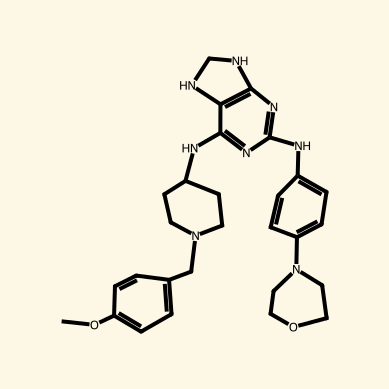 COc1ccc(CN2CCC(Nc3nc(Nc4ccc(N5CCOCC5)cc4)nc4c3NCN4)CC2)cc1